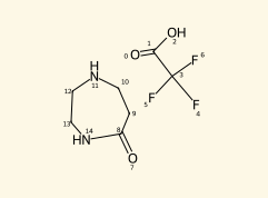 O=C(O)C(F)(F)F.O=C1CCNCCN1